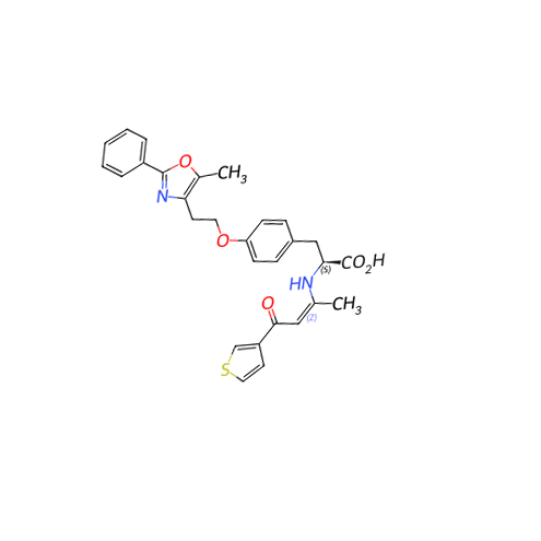 C/C(=C/C(=O)c1ccsc1)N[C@@H](Cc1ccc(OCCc2nc(-c3ccccc3)oc2C)cc1)C(=O)O